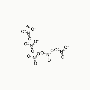 O=[N+]([O-])[O-].O=[N+]([O-])[O-].O=[N+]([O-])[O-].O=[N+]([O-])[O-].O=[N+]([O-])[O-].[Pu]